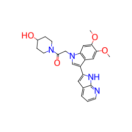 COc1cc2c(-c3cc4cccnc4[nH]3)cn(CC(=O)N3CCC(O)CC3)c2cc1OC